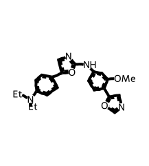 CCN(CC)c1ccc(-c2cnc(Nc3ccc(-c4cnco4)c(OC)c3)o2)cc1